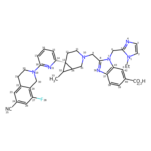 CCn1ccnc1Cn1c(CN2CC[C@]3(c4cccc(N5CCc6cc(C#N)cc(F)c6C5)n4)C(C)C3C2)nc2ccc(C(=O)O)cc21